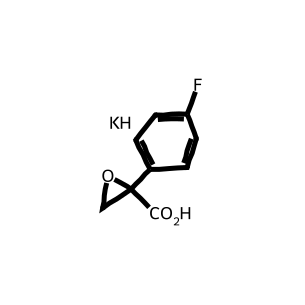 O=C(O)C1(c2ccc(F)cc2)CO1.[KH]